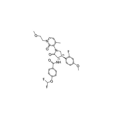 COCCn1ccc(C)c(N2C[C@@H](c3ccc(OC)cc3F)[C@H](NC(=O)c3ccc(OC(F)F)cc3)C2=O)c1=O